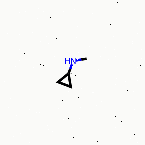 CN[C]1CC1